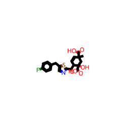 CC1(C(=O)O)C=CC(C(=O)c2ncc(Cc3ccc(F)cc3)s2)C(O)(C(=O)O)C1